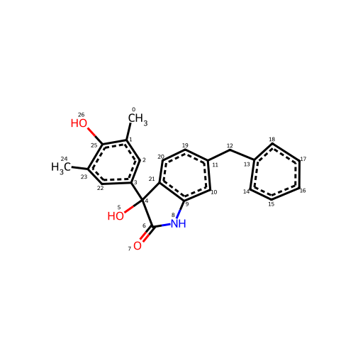 Cc1cc(C2(O)C(=O)Nc3cc(Cc4ccccc4)ccc32)cc(C)c1O